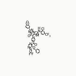 CCc1c(N2CCN(C(=O)c3ncnc(N4CC(F)(F)C4)c3OCc3ccccc3)CC2)c(=O)n2nc(-c3ccc4c(c3)COC4)nc2n1CC(=O)Nc1ccc(C(F)(F)F)cc1Cl